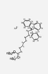 CCCCOC(CCCCCCCC[P+](c1ccccc1)(c1ccccc1)c1ccccc1)OCCCC.[I-]